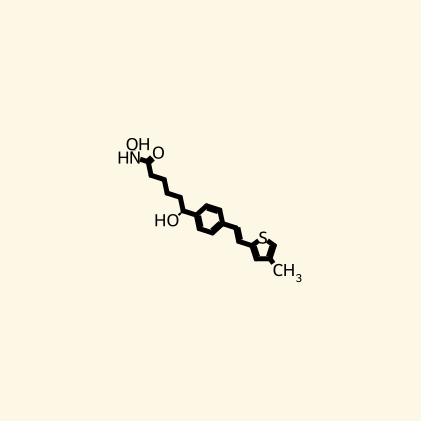 Cc1csc(C=Cc2ccc([C@H](O)CCCCC(=O)NO)cc2)c1